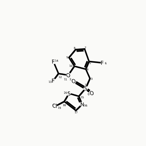 O=S(=O)(Cc1c(F)cccc1OC(F)F)c1ncc(Cl)s1